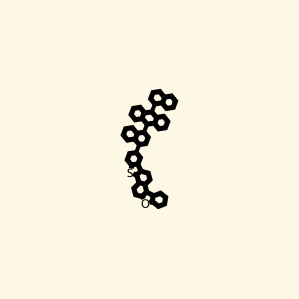 c1ccc2c(-c3c4ccccc4c(-c4ccc(-c5ccc6sc7c(ccc8c7ccc7oc9ccccc9c78)c6c5)c5ccccc45)c4ccccc34)cccc2c1